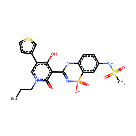 CC(C)(C)CCn1cc(-c2ccsc2)c(O)c(C2=NP(=O)(O)c3cc(NS(C)(=O)=O)ccc3N2)c1=O